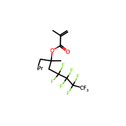 C=C(C)C(=O)OC(C)(CC(C)C)CC(F)(F)C(F)(F)C(F)(F)C(F)(F)F